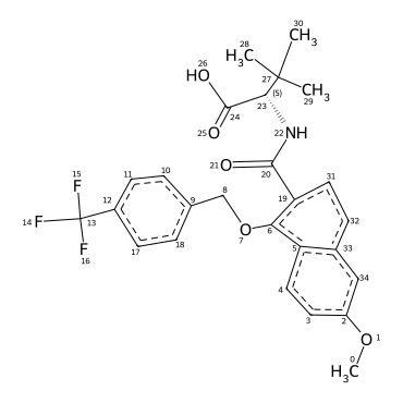 COc1ccc2c(OCc3ccc(C(F)(F)F)cc3)c(C(=O)N[C@H](C(=O)O)C(C)(C)C)ccc2c1